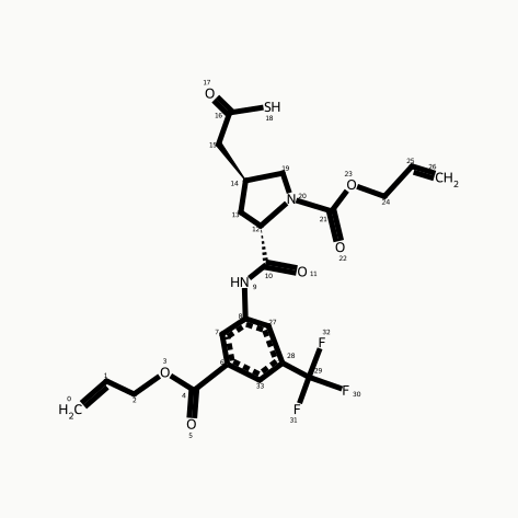 C=CCOC(=O)c1cc(NC(=O)[C@@H]2C[C@@H](CC(=O)S)CN2C(=O)OCC=C)cc(C(F)(F)F)c1